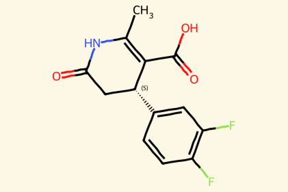 CC1=C(C(=O)O)[C@H](c2ccc(F)c(F)c2)CC(=O)N1